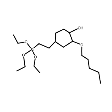 CCCCCOC1CC(CC[Si](OCC)(OCC)OCC)CCC1O